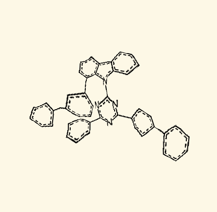 c1ccc(-c2ccc(-c3nc(-c4ccccc4)nc(-n4c5ccccc5c5cccc(-c6cccc(-c7ccccc7)c6)c54)n3)cc2)cc1